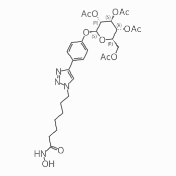 CC(=O)OC[C@H]1O[C@@H](Oc2ccc(-c3cn(CCCCCCC(=O)NO)nn3)cc2)[C@H](OC(C)=O)[C@@H](OC(C)=O)[C@@H]1OC(C)=O